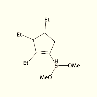 CCC1=C([SiH](OC)OC)CC(CC)C1CC